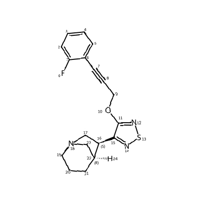 Fc1ccccc1C#CCOc1nsnc1[C@@H]1CN2CCC[C@H]1C2